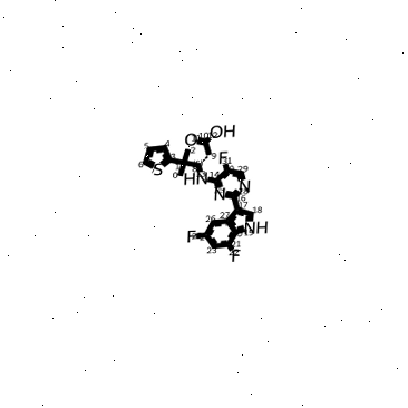 CC(C)(c1cccs1)[C@H](CC(=O)O)Nc1nc(-c2c[nH]c3c(F)cc(F)cc23)ncc1F